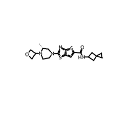 C[C@@H]1CN(c2nc3sc(C(=O)NC4CC5(CC5)C4)cc3s2)CCN1C1COC1